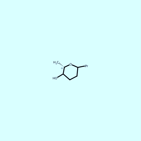 CC(C)C1CCC(O)[C@H](C)O1